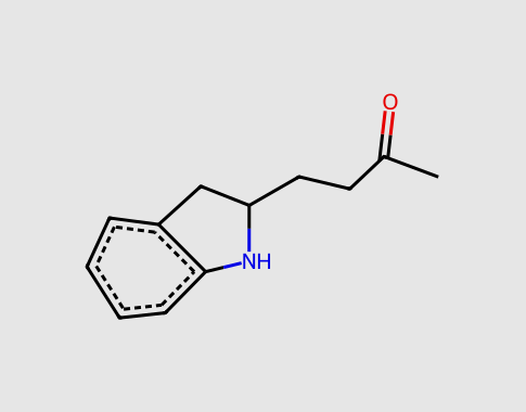 CC(=O)CCC1Cc2ccccc2N1